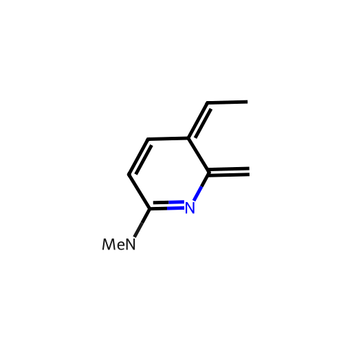 C=c1nc(NC)cc/c1=C/C